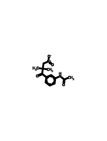 CC(=O)Nc1cccc(C(=O)C(C)(C)C[N+](=O)[O-])c1